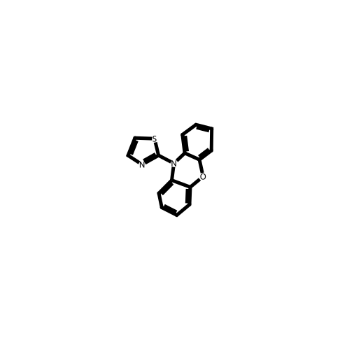 c1ccc2c(c1)Oc1ccccc1N2c1nccs1